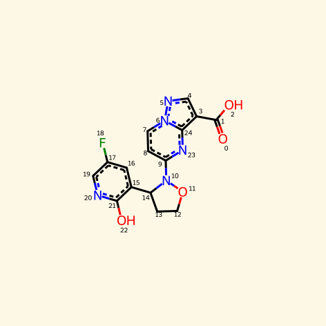 O=C(O)c1cnn2ccc(N3OCCC3c3cc(F)cnc3O)nc12